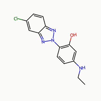 CCNc1ccc(-n2nc3ccc(Cl)cc3n2)c(O)c1